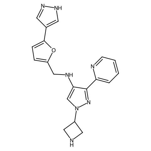 c1ccc(-c2nn(C3CNC3)cc2NCc2ccc(-c3cn[nH]c3)o2)nc1